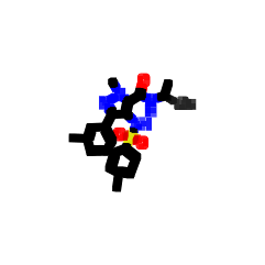 Cc1ccc(S(=O)(=O)Nc2c(-c3cccc(C)c3)nn(C)c2C(=O)N[C@@H](C)C(C)(C)C)cc1